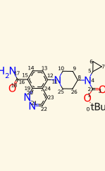 CC(C)(C)OC(=O)N(C1CC1)C1CCN(c2ccc(C(N)=O)c3nnccc23)CC1